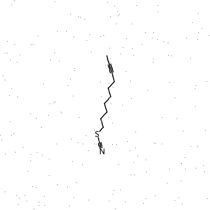 CC#CCCCCCCCSC#N